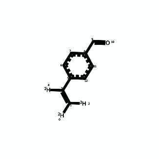 [2H]C([2H])=C([2H])c1ccc(C=O)cc1